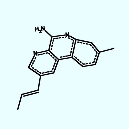 CC=Cc1cnc2c(N)nc3cc(C)ccc3c2c1